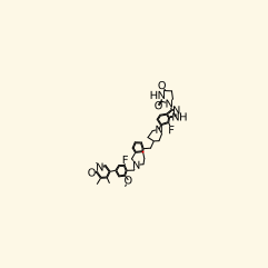 COc1cc(-c2cn(C)c(=O)c(C)c2C)cc(F)c1CN1CCc2c(CC3CCN(c4ccc5c(N6CCC(=O)NC6=O)n[nH]c5c4F)CC3)cccc2C1